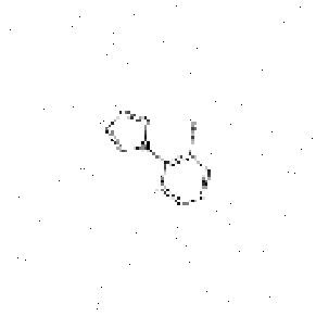 Fc1ccc[c]c1-n1cccn1